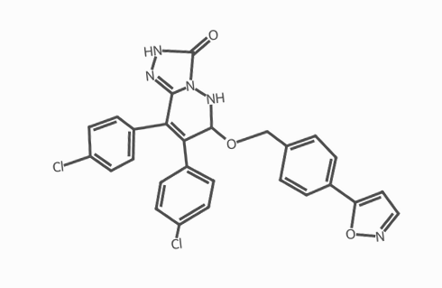 O=c1[nH]nc2n1NC(OCc1ccc(-c3ccno3)cc1)C(c1ccc(Cl)cc1)=C2c1ccc(Cl)cc1